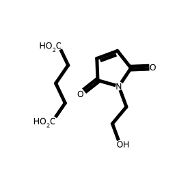 O=C(O)CCCC(=O)O.O=C1C=CC(=O)N1CCO